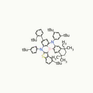 CC(C)(C)c1ccc(N2c3cc(-c4ccccc4C(C)(C)C)cc4c3B(c3cc5c(cc3N4c3cc(C(C)(C)C)cc(C(C)(C)C)c3)C(C)(C)CCC5(C)C)c3c2sc2ccc(C(C)(C)C)cc32)cc1